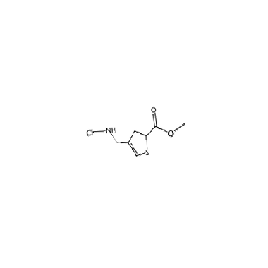 COC(=O)C1CC(CNCl)=CS1